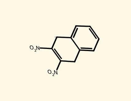 O=[N+]([O-])C1=C([N+](=O)[O-])Cc2ccccc2[CH]1